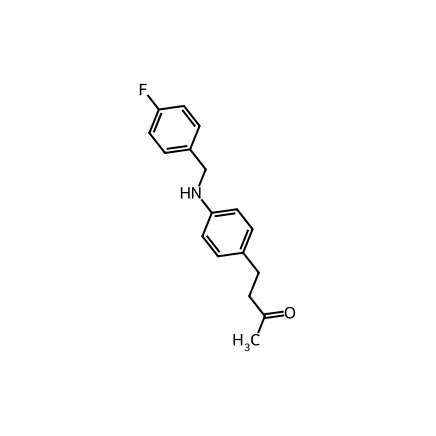 CC(=O)CCc1ccc(NCc2ccc(F)cc2)cc1